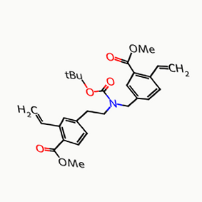 C=Cc1cc(CCN(Cc2ccc(C=C)c(C(=O)OC)c2)C(=O)OC(C)(C)C)ccc1C(=O)OC